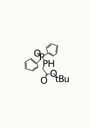 CC(C)(C)OC(=O)CPP(=O)(c1ccccc1)c1ccccc1